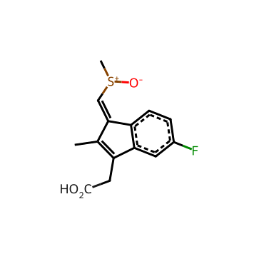 CC1=C(CC(=O)O)c2cc(F)ccc2C1=C[S+](C)[O-]